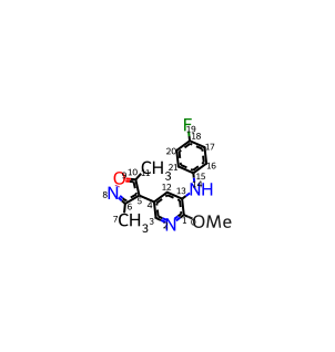 COc1ncc(-c2c(C)noc2C)cc1Nc1ccc(F)cc1